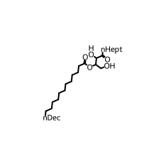 CCCCCCCCCCCCCCCCCCCCCC(=O)OC(CO)C(O)C(=O)CCCCCCC